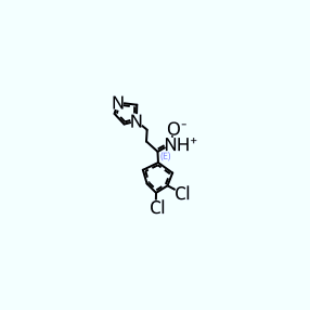 [O-]/[NH+]=C(\CCn1ccnc1)c1ccc(Cl)c(Cl)c1